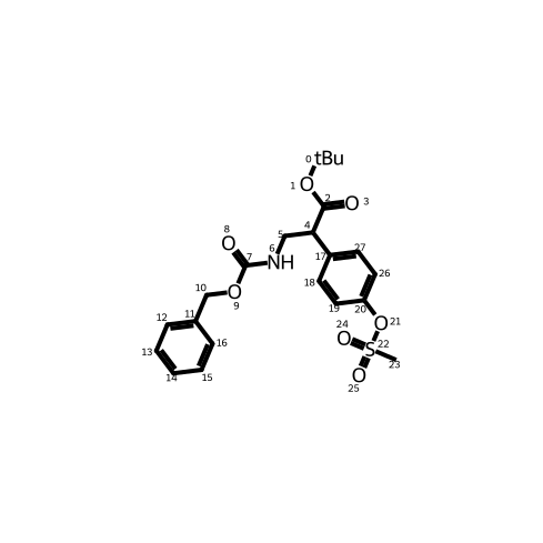 CC(C)(C)OC(=O)C(CNC(=O)OCc1ccccc1)c1ccc(OS(C)(=O)=O)cc1